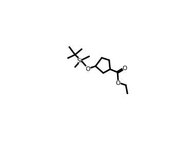 CCOC(=O)C1CCC(O[Si](C)(C)C(C)(C)C)C1